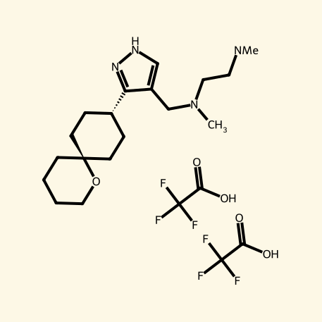 CNCCN(C)Cc1c[nH]nc1[C@H]1CC[C@@]2(CCCCO2)CC1.O=C(O)C(F)(F)F.O=C(O)C(F)(F)F